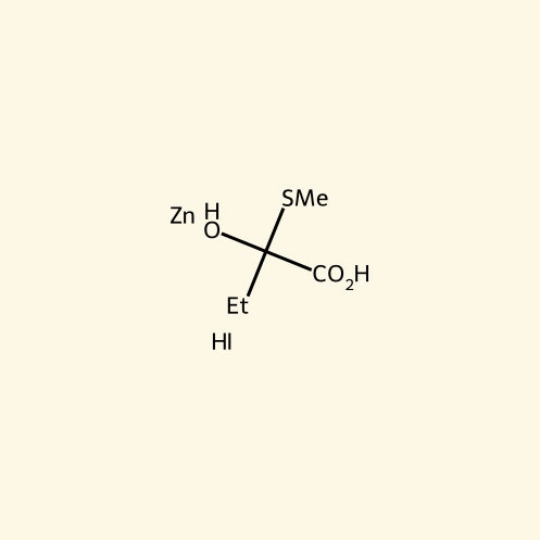 CCC(O)(SC)C(=O)O.I.[Zn]